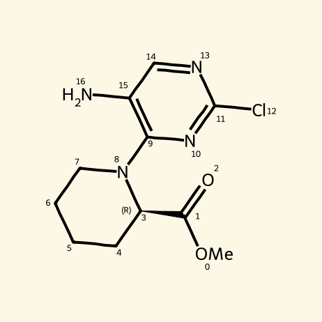 COC(=O)[C@H]1CCCCN1c1nc(Cl)ncc1N